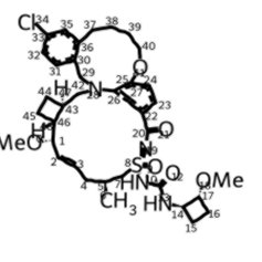 CO[C@H]1/C=C/C[C@H](C)CS(=O)(NC(=O)N[C@@H]2CC[C@H]2OC)=NC(=O)c2ccc3c(c2)N(Cc2ccc(Cl)cc2CCCCO3)C[C@@H]2CC[C@H]21